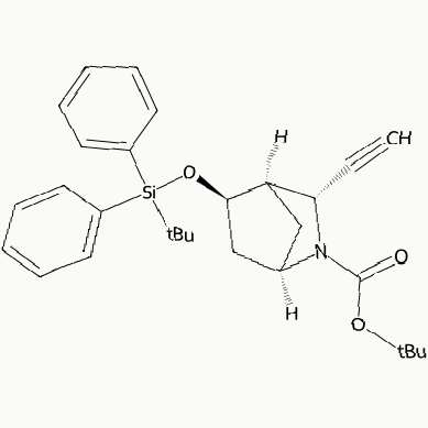 C#C[C@H]1[C@H]2C[C@H](C[C@H]2O[Si](c2ccccc2)(c2ccccc2)C(C)(C)C)N1C(=O)OC(C)(C)C